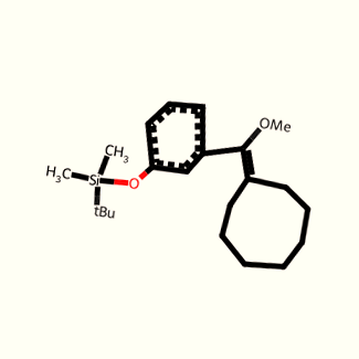 COC(=C1CCCCCCC1)c1cccc(O[Si](C)(C)C(C)(C)C)c1